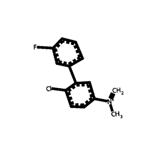 C=[N+](C)c1ccc(Cl)c(-c2cccc(F)c2)c1